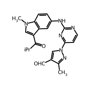 Cc1nn(-c2ccnc(Nc3ccc4c(c3)c(C(=O)C(C)C)cn4C)n2)cc1C=O